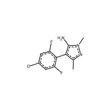 Cc1nn(C)c(N)c1-c1c(F)cc(Cl)cc1F